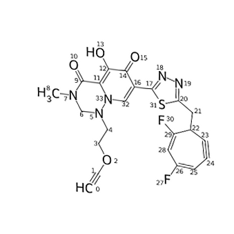 C#COCCN1CN(C)C(=O)c2c(O)c(=O)c(-c3nnc(CC4C#CC=C(F)C=C4F)s3)cn21